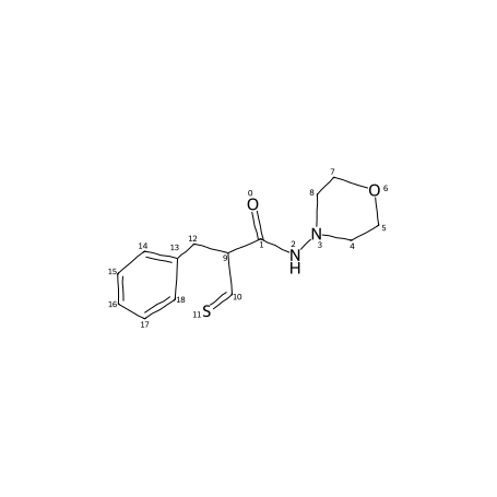 O=C(NN1CCOCC1)C(C=S)Cc1ccccc1